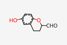 O=CC1CCc2cc(O)ccc2O1